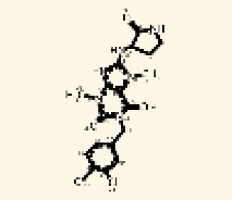 Cn1c(NC2CCNC2=O)nc2c1c(=O)n(Cc1ccc(Cl)c(Cl)c1)c(=O)n2C